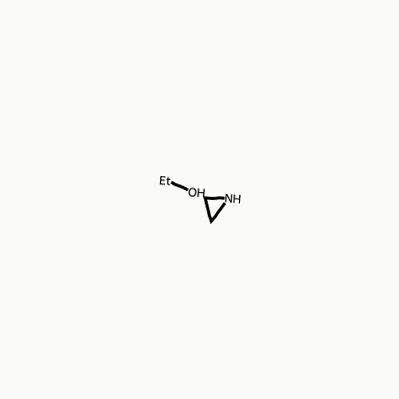 C1CN1.CCO